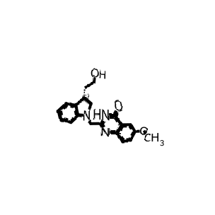 COc1ccc2nc(CN3C[C@@H](CCO)c4ccccc43)[nH]c(=O)c2c1